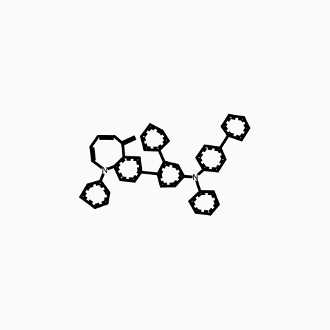 C=C1/C=C\C=C/N(c2ccccc2)c2ccc(-c3ccc(N(c4ccccc4)c4ccc(-c5ccccc5)cc4)cc3-c3ccccc3)cc21